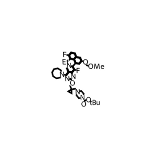 CCc1c(F)ccc2cc(OCOC)cc(-c3ncc4c(N5CCCCCCC5)nc(OCC5(CN6CCN(C(=O)OC(C)(C)C)CC6)CC5)nc4c3F)c12